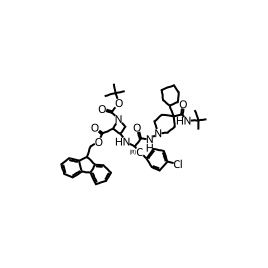 CC(C)(C)NC(=O)C1(C2CCCCC2)CCN(NC(=O)[C@@H](Cc2ccc(Cl)cc2)NC2CN(C(=O)OC(C)(C)C)C2C(=O)OCC2c3ccccc3-c3ccccc32)CC1